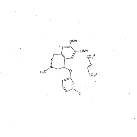 COc1cc2c(cc1OC)C(Oc1cccc(Cl)c1)CN(C)CC2.O=C(O)C=CC(=O)O